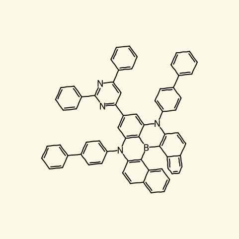 c1ccc(-c2ccc(N3c4cc(-c5cc(-c6ccccc6)nc(-c6ccccc6)n5)cc5c4B(c4c3ccc3ccccc43)c3c(ccc4ccccc34)N5c3ccc(-c4ccccc4)cc3)cc2)cc1